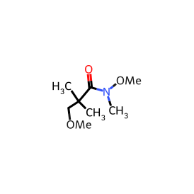 COCC(C)(C)C(=O)N(C)OC